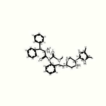 COC(=O)N(C(=O)[C@@H](N)C(c1ccccc1)c1ccccc1)c1ccccc1CC[C@@H]1CN[C@H](c2nc(C)c(C)[nH]2)CO1